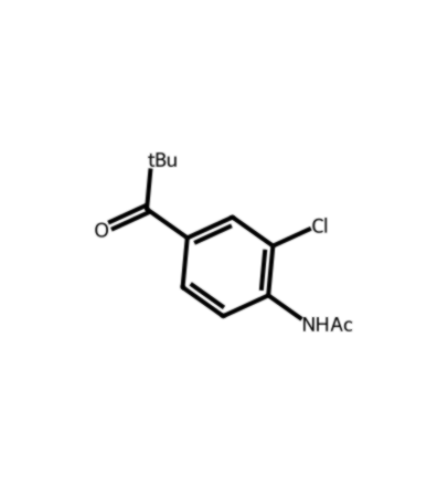 CC(=O)Nc1ccc(C(=O)C(C)(C)C)cc1Cl